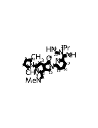 CNCc1nc(N2[C@H](C)CC[C@H]2C)cc2c1CN(c1cccc(C(=N)N(C=N)C(C)C)n1)C2=O